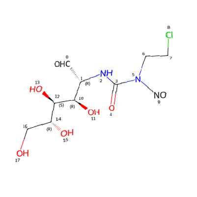 O=C[C@H](NC(=O)N(CCCl)N=O)[C@@H](O)[C@H](O)[C@H](O)CO